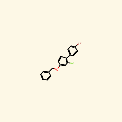 Fc1cc(OCc2ccccc2)ccc1-c1ccc(Br)cc1